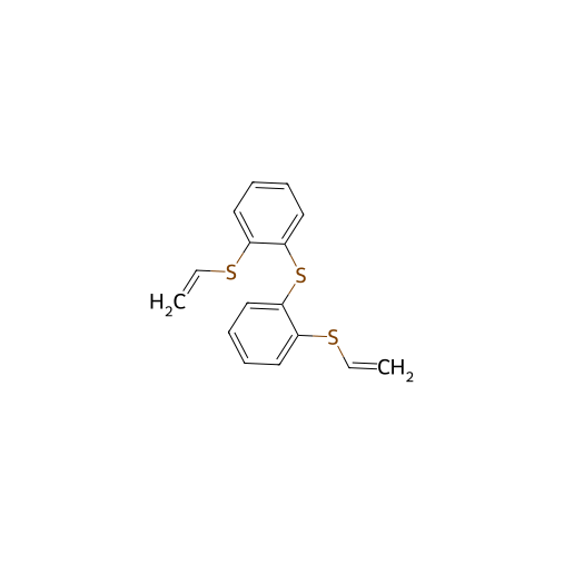 C=CSc1ccccc1Sc1ccccc1SC=C